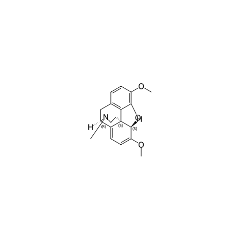 COC1=CC=C2[C@H]3Cc4ccc(OC)c5c4[C@@]2(CCN3C)[C@@H]1O5